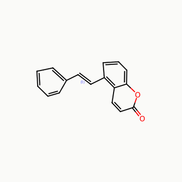 O=c1ccc2c(/C=C/c3ccccc3)cccc2o1